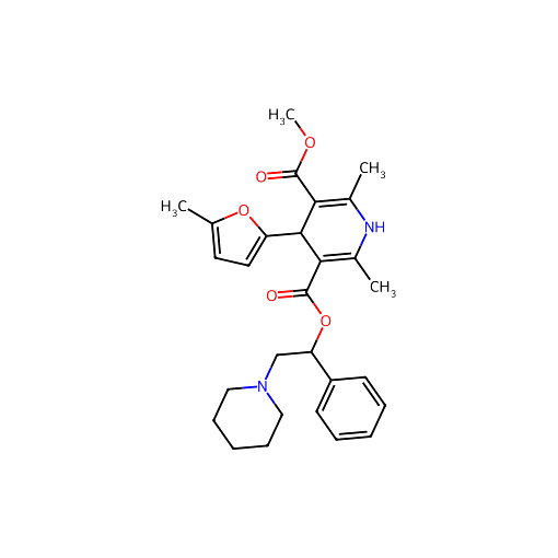 COC(=O)C1=C(C)NC(C)=C(C(=O)OC(CN2CCCCC2)c2ccccc2)C1c1ccc(C)o1